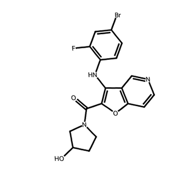 O=C(c1oc2ccncc2c1Nc1ccc(Br)cc1F)N1CCC(O)C1